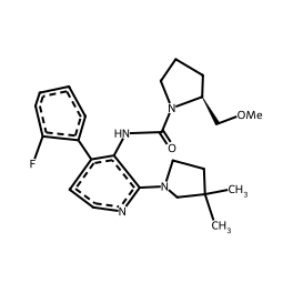 COC[C@@H]1CCCN1C(=O)Nc1c(-c2ccccc2F)ccnc1N1CCC(C)(C)C1